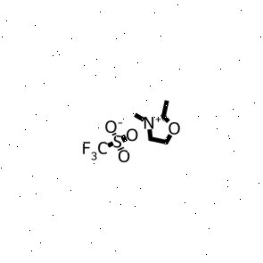 CC1=[N+](C)CCO1.O=S(=O)([O-])C(F)(F)F